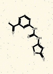 CC(=O)c1cccc(NC(=O)NC2=CC(=O)OC2)c1